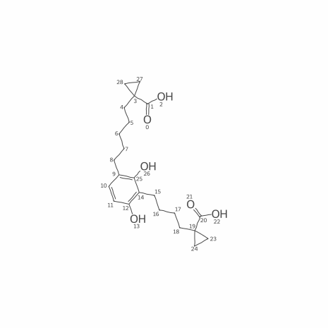 O=C(O)C1(CCCCCc2ccc(O)c(CCCCC3(C(=O)O)CC3)c2O)CC1